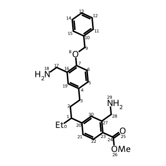 CCC(CCc1ccc(OCc2ccccc2)c(CN)c1)c1ccc(C(=O)OC)c(CN)c1